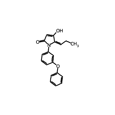 CCC=C1C(O)=CC(=O)N1c1cccc(Oc2ccccc2)c1